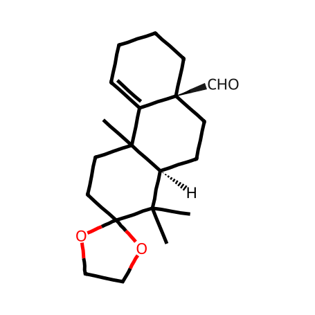 CC12CCC3(OCCO3)C(C)(C)[C@@H]1CC[C@@]1(C=O)CCCC=C21